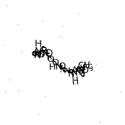 CC(=O)c1c(C)c2cnc(Nc3ccc(N4CCN(CC(=O)NCCOCCOCCC(=O)Nc5ccccc5C(=O)Nc5ccccn5)CC4)cn3)nc2n(C2CCCC2)c1=O